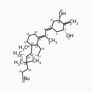 C=C1[C@H](O)CC(=C/C(C)=C2\CCC[C@@]3(C)C2CC[C@@H]3[C@@H](C)C(C)(C)CCC(C)(C)C)C[C@H]1O